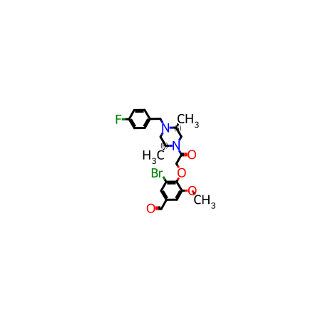 COc1cc(C=O)cc(Br)c1OCC(=O)N1C[C@H](C)N(Cc2ccc(F)cc2)C[C@H]1C